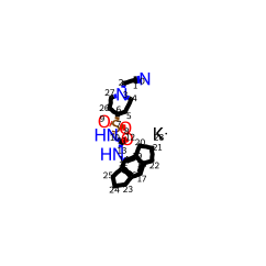 N#CCN1CCC(S(=O)(=O)NC(=O)Nc2c3c(cc4c2CCC4)CCC3)CC1.[K]